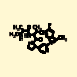 CNC(C)C(=O)NC(C(=O)N1CCCC1c1ccnc(-n2cc(C)c3cc(F)ccc32)c1)C(C)C